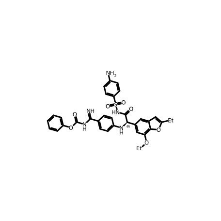 CCOc1cc([C@@H](Nc2ccc(C(=N)NC(=O)Oc3ccccc3)cc2)C(=O)NS(=O)(=O)c2ccc(N)cc2)cc2cc(CC)oc12